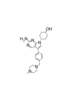 CN1CCN(Cc2ccc(-c3cn([C@H]4CC[C@H](O)CC4)c4nc(N)ncc34)cc2)CC1